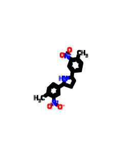 Cc1ccc(C2CCC(c3ccc(C)c([N+](=O)[O-])c3)N2)cc1[N+](=O)[O-]